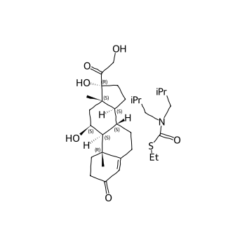 CCSC(=O)N(CC(C)C)CC(C)C.C[C@]12CCC(=O)C=C1CC[C@@H]1[C@@H]2[C@@H](O)C[C@@]2(C)[C@H]1CC[C@]2(O)C(=O)CO